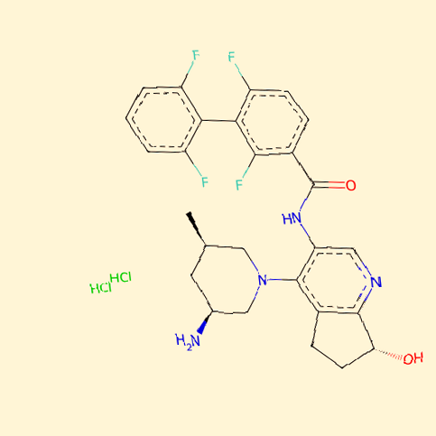 C[C@@H]1C[C@H](N)CN(c2c(NC(=O)c3ccc(F)c(-c4c(F)cccc4F)c3F)cnc3c2CC[C@H]3O)C1.Cl.Cl